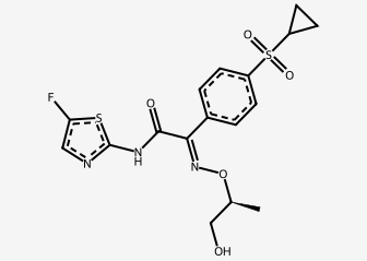 C[C@@H](CO)O/N=C(/C(=O)Nc1ncc(F)s1)c1ccc(S(=O)(=O)C2CC2)cc1